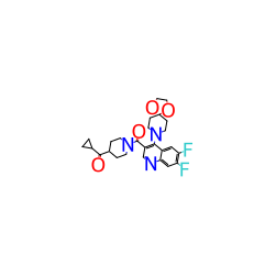 O=C(C1CC1)C1CCN(C(=O)c2cnc3cc(F)c(F)cc3c2N2CCC3(CC2)OCCO3)CC1